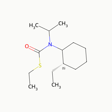 CCSC(=O)N(C(C)C)C1CCCC[C@@H]1CC